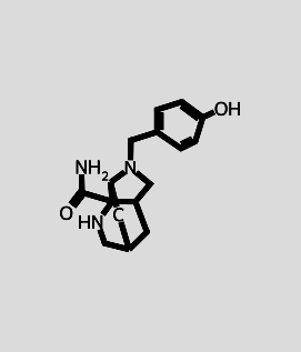 NC(=O)C12NCC3CC1CN(Cc1ccc(O)cc1)C2C3